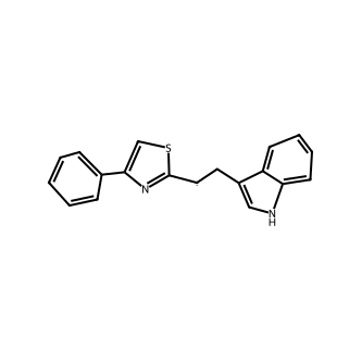 [CH](Cc1c[nH]c2ccccc12)c1nc(-c2ccccc2)cs1